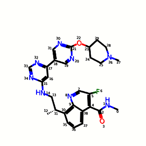 CNC(=O)c1c(F)cnc2c([C@H](C)CNc3cc(-c4cnc(OC5CCN(C)CC5)nc4)ncn3)cccc12